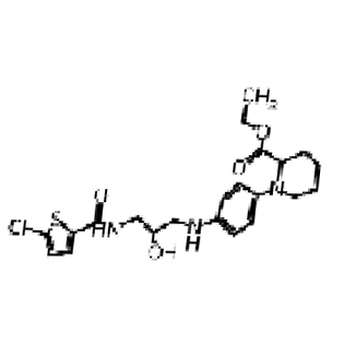 CCOC(=O)C1CCCCN1c1ccc(NCC(O)CNC(=O)c2ccc(Cl)s2)cc1